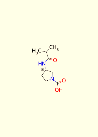 CC(C)C(=O)N[C@H]1CCN(C(=O)O)C1